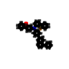 c1ccc(-c2cccc3cc(-c4ccc(N(c5ccc6c(c5)oc5ccccc56)c5cccc6c5sc5ccccc56)cc4)ccc23)cc1